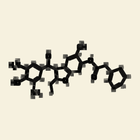 CCc1oc2cc(OC(=O)Cc3ccccc3)c(O)cc2c1C(=O)c1cc(N)c(O)c(N)c1